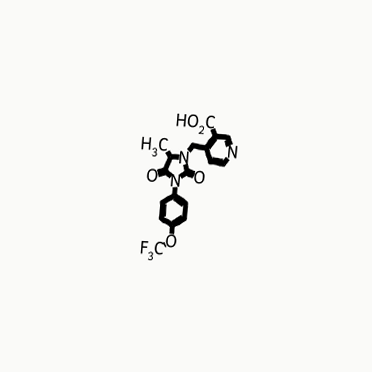 CC1C(=O)N(c2ccc(OC(F)(F)F)cc2)C(=O)N1Cc1ccncc1C(=O)O